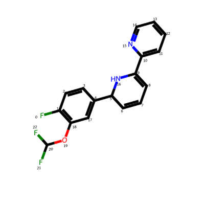 Fc1ccc(C2C=CC=C(c3ccccn3)N2)cc1OC(F)F